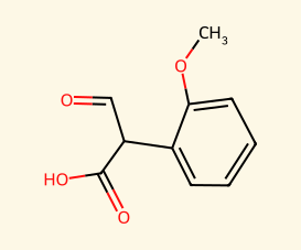 COc1ccccc1C(C=O)C(=O)O